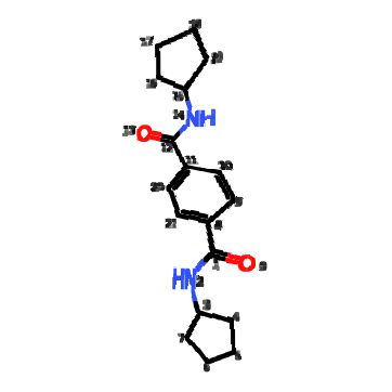 O=C(NC1CCCC1)c1ccc(C(=O)NC2CCCC2)cc1